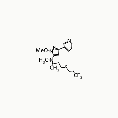 C=C(CCSCCC(F)(F)F)N(C)c1cc(-c2cccnc2)nn1OC